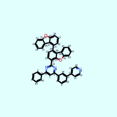 c1ccc(-c2cc(-c3cccc(-c4ccncc4)c3)nc(-c3ccc(-c4cccc5oc6ccccc6c45)c4c3oc3ccccc34)n2)cc1